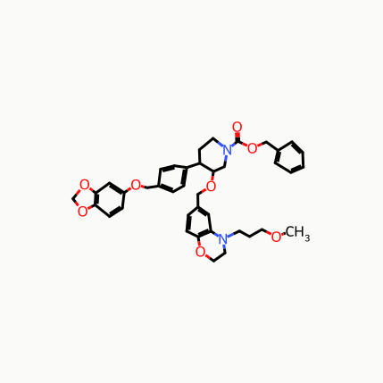 COCCCN1CCOc2ccc(COC3CN(C(=O)OCc4ccccc4)CCC3c3ccc(COc4ccc5c(c4)OCO5)cc3)cc21